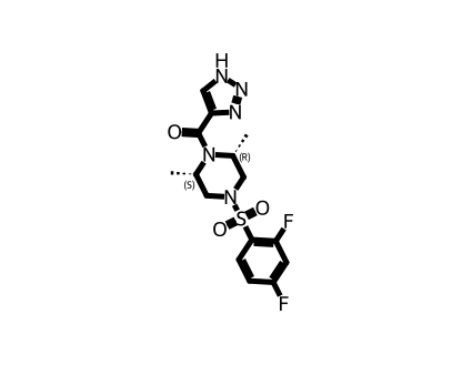 C[C@@H]1CN(S(=O)(=O)c2ccc(F)cc2F)C[C@H](C)N1C(=O)c1c[nH]nn1